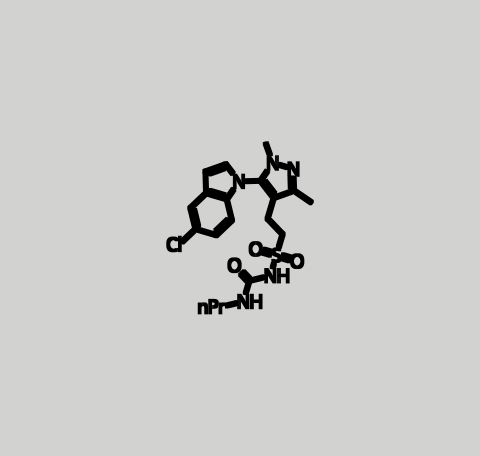 CCCNC(=O)NS(=O)(=O)CCc1c(C)nn(C)c1-n1ccc2cc(Cl)ccc21